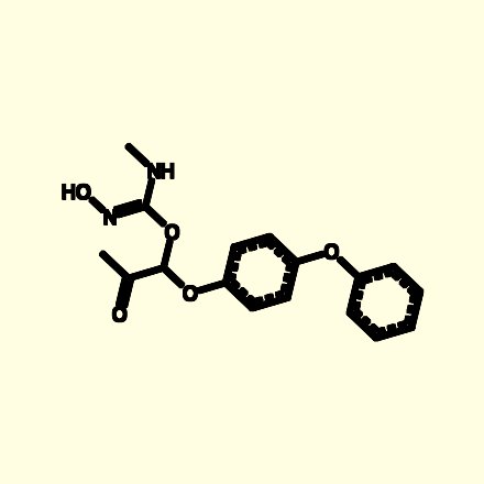 CNC(=NO)OC(Oc1ccc(Oc2ccccc2)cc1)C(C)=O